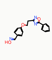 ON=Cc1ccc(OCCc2noc(-c3ccccc3)n2)cc1